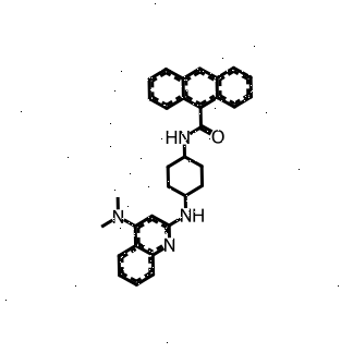 CN(C)c1cc(NC2CCC(NC(=O)c3c4ccccc4cc4ccccc34)CC2)nc2ccccc12